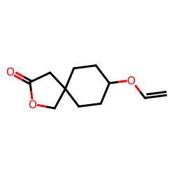 C=COC1CCC2(CC1)COC(=O)C2